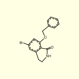 O=C1NCCc2cc(Br)cc(OCc3ccccc3)c21